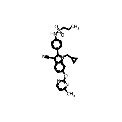 CCCS(=O)(=O)Nc1ccc(-c2c(C#N)c3ccc(Oc4nccc(C)n4)cc3n2CC2CC2)cc1